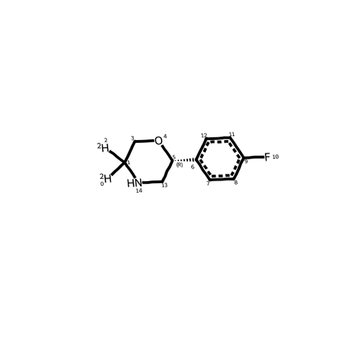 [2H]C1([2H])CO[C@H](c2ccc(F)cc2)CN1